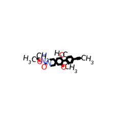 CC#Cc1cc(C)c(C2C(=O)CC3(CCN(C(=O)NOC(C)C)CC3)CC2=O)c(C)c1